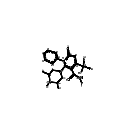 CC1CN(c2c(C(=O)NF)c(C(F)(F)F)cc(=O)n2-c2ccccc2)CC(C)N1C